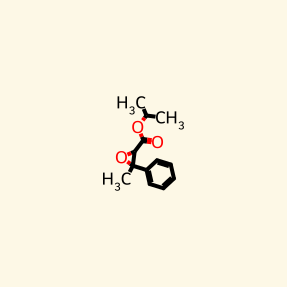 CC(C)OC(=O)C1OC1(C)c1ccccc1